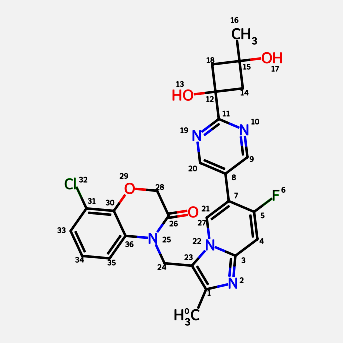 Cc1nc2cc(F)c(-c3cnc(C4(O)CC(C)(O)C4)nc3)cn2c1CN1C(=O)COc2c(Cl)cccc21